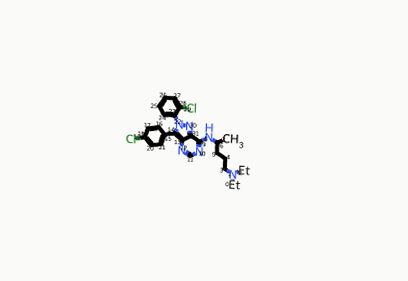 CCN(CC)CCCC(C)Nc1ncnc2c(-c3ccc(Cl)cc3)n(-c3ccccc3Cl)nc12